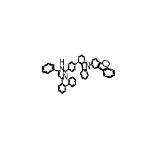 C1=C(c2ccccc2)NC(c2ccc(-c3cccc4c3c3ccccc3n4-c3ccc4oc5ccccc5c4c3)cc2)N=C1c1ccccc1-c1ccccc1